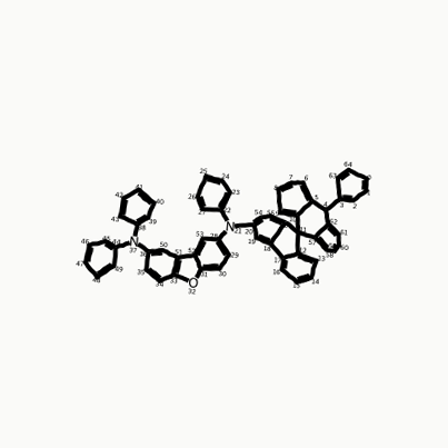 c1ccc(C2c3ccccc3C3(c4ccccc4-c4cc(N(c5ccccc5)c5ccc6oc7ccc(N(c8ccccc8)c8ccccc8)cc7c6c5)ccc43)c3ccccc32)cc1